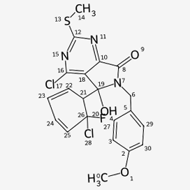 COc1ccc(CN2C(=O)c3nc(SC)nc(Cl)c3C2(O)C2C=CC=CC2(F)Cl)cc1